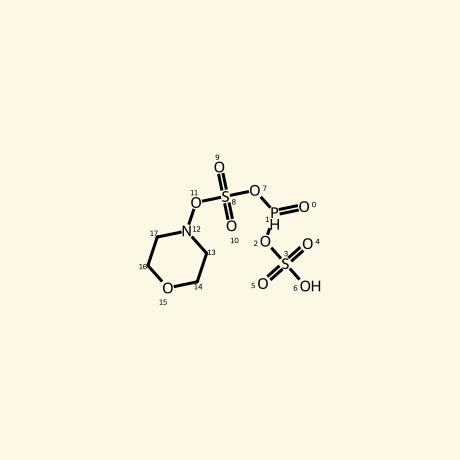 O=[PH](OS(=O)(=O)O)OS(=O)(=O)ON1CCOCC1